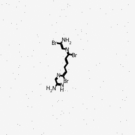 N=C(N)/C=N\C(Br)=C/C/C=C/C(Br)=N\C=C(/N)Br